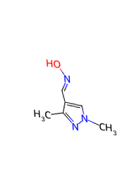 Cc1nn(C)cc1C=NO